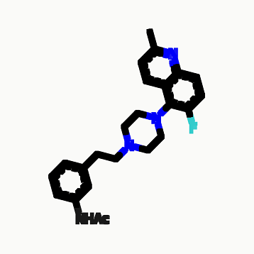 CC(=O)Nc1cccc(CCN2CCN(c3c(F)ccc4nc(C)ccc34)CC2)c1